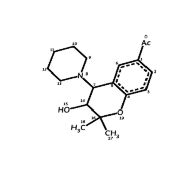 CC(=O)c1ccc2c(c1)C(N1CCCCC1)C(O)C(C)(C)O2